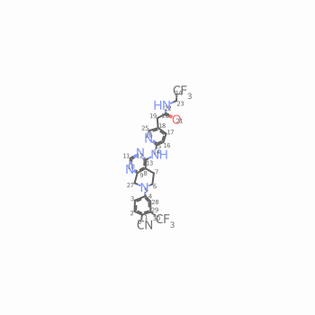 N#Cc1ccc(N2CCc3c(ncnc3Nc3ccc(CC(=O)NCC(F)(F)F)cn3)C2)cc1C(F)(F)F